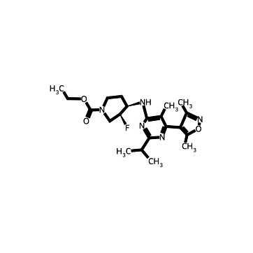 CCOC(=O)N1CC[C@@H](Nc2nc(C(C)C)nc(-c3c(C)noc3C)c2C)[C@@H](F)C1